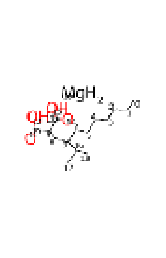 CCCCCCCC(CC(C(=O)O)C(=O)O)C(C)C.[MgH2]